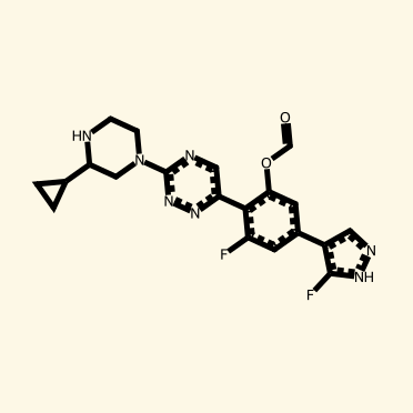 O=COc1cc(-c2cn[nH]c2F)cc(F)c1-c1cnc(N2CCNC(C3CC3)C2)nn1